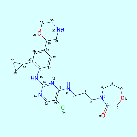 O=C1COCCCN1CCCNc1nc(Nc2ccc(C3CNCCO3)cc2C2CC2)ncc1Cl